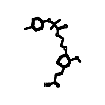 COc1cc(/C=C/C(=O)O)ccc1OCCOC(=O)C(C)(C)Oc1ccc(C)cc1